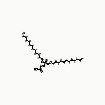 CCCCCCCCCCCCOOP(=O)(OCC(=O)O)OOCCCCCCCCCCCC